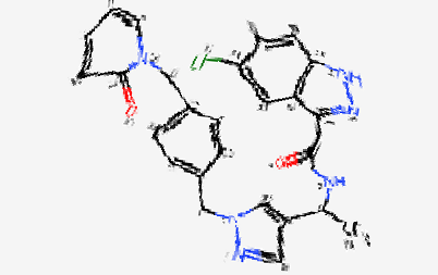 O=C(NC(c1cnn(Cc2ccc(Cn3ccccc3=O)cc2)c1)C(F)(F)F)c1n[nH]c2ccc(Cl)cc12